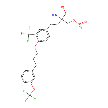 NC(CO)(CCc1ccc(OCCCc2cccc(OC(F)(F)F)c2)c(C(F)(F)F)c1)CO[PH2]=O